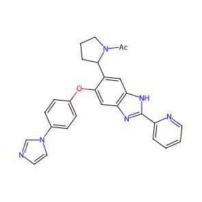 CC(=O)N1CCCC1c1cc2[nH]c(-c3ccccn3)nc2cc1Oc1ccc(-n2ccnc2)cc1